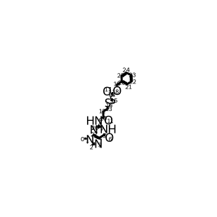 Cn1cnc2c(=O)[nH]c(NC(=O)CCSSC(=O)OCc3ccccc3)nc21